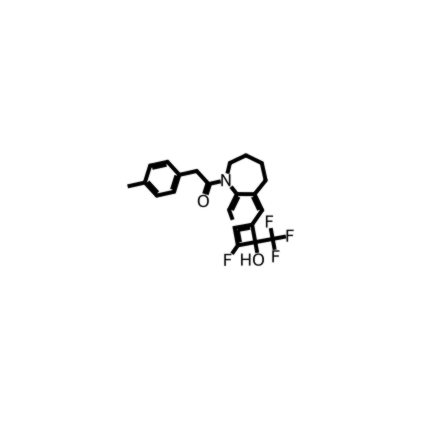 C/C=C1\C(=C/C2=C=C(F)C2(O)C(F)(F)F)CCCCN1C(=O)Cc1ccc(C)cc1